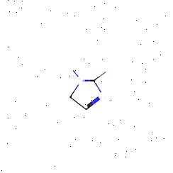 CN1[CH]C=NC1Br